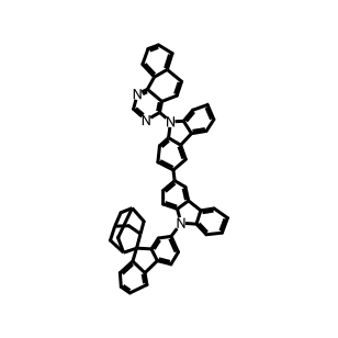 c1ccc2c(c1)-c1ccc(-n3c4ccccc4c4cc(-c5ccc6c(c5)c5ccccc5n6-c5ncnc6c5ccc5ccccc56)ccc43)cc1C21C2CC3CC(C2)CC1C3